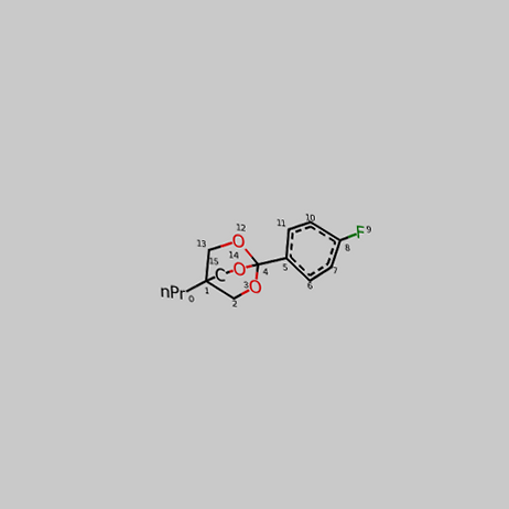 CCCC12COC(c3ccc(F)cc3)(OC1)OC2